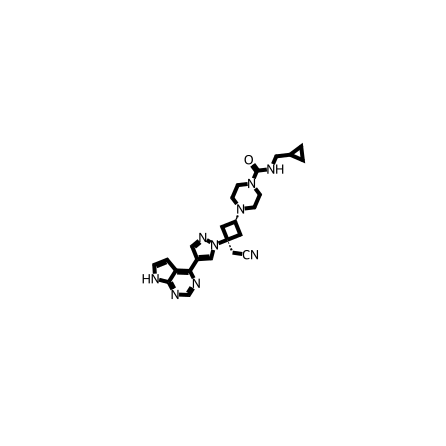 N#CC[C@]1(n2cc(-c3ncnc4[nH]ccc34)cn2)C[C@H](N2CCN(C(=O)NCC3CC3)CC2)C1